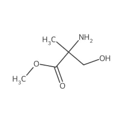 COC(=O)C(C)(N)CO